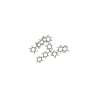 c1ccc(-c2ccc(N(c3ccc(-c4cccc5oc6cc7nc(-c8ccccc8)oc7cc6c45)cc3)c3cccc(-c4ccc5ccccc5c4)c3)cc2)cc1